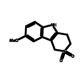 COc1ccc2[nH]c3c(c2c1)CS(=O)(=O)CC3